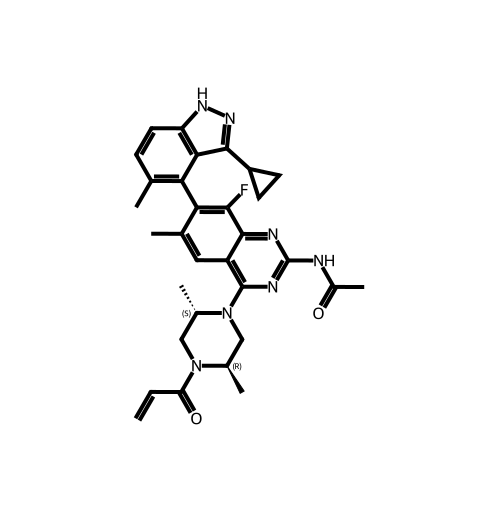 C=CC(=O)N1C[C@H](C)N(c2nc(NC(C)=O)nc3c(F)c(-c4c(C)ccc5[nH]nc(C6CC6)c45)c(C)cc23)C[C@H]1C